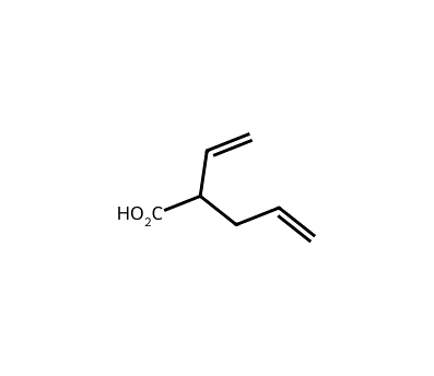 C=CCC(C=C)C(=O)O